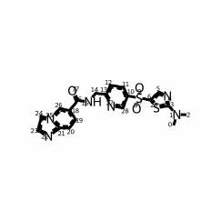 CN(C)c1ncc(S(=O)(=O)c2ccc(CNC(=O)c3ccc4nccn4c3)nc2)s1